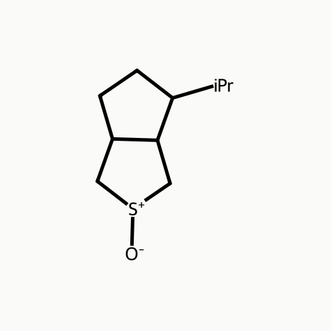 CC(C)C1CCC2C[S+]([O-])CC21